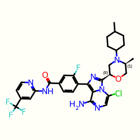 CC1CCC(N2C[C@H](c3nc(-c4ccc(C(=O)Nc5cc(C(F)(F)F)ccn5)cc4F)c4c(N)ncc(Cl)n34)OC[C@@H]2C)CC1